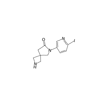 O=C1CC2(CNC2)CN1c1ccc(I)nc1